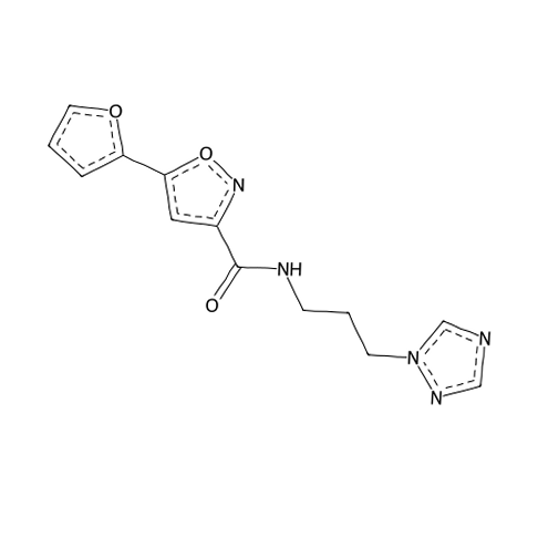 O=C(NCCCn1cncn1)c1cc(-c2ccco2)on1